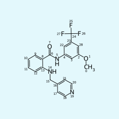 COc1cc(NC(=O)c2ccccc2NCc2ccncc2)cc(C(F)(F)F)c1